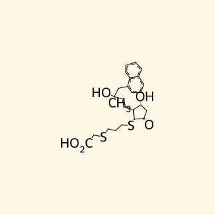 C[C@@](O)(C=C[C@H]1[C@H](O)CC(=O)[C@@H]1SCCCSCC(=O)O)Cc1cccc2ccccc12